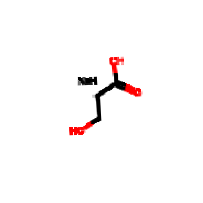 O=C(O)[CH]CO.[NaH]